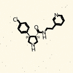 O=C(NCCc1cccnc1)[C@@H]1CNC[C@H]1c1ccc(Cl)cc1